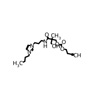 C#CCCOC(=O)OCC(C)(CO)C(=O)NCCCn1cc[n+](CCCC)c1